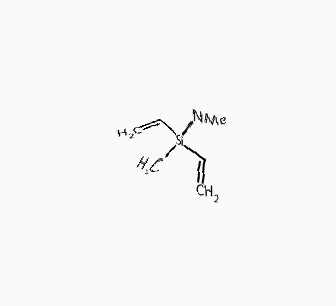 C=C[Si](C)(C=C)NC